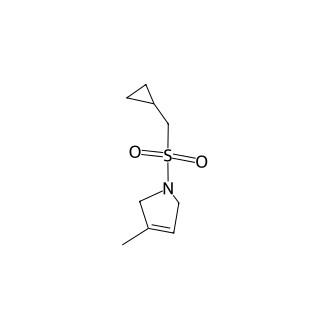 CC1=CCN(S(=O)(=O)CC2CC2)C1